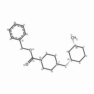 C[C@@H]1CCC[C@H](CN2CCN(C(=O)OCc3ccccc3)CC2)C1